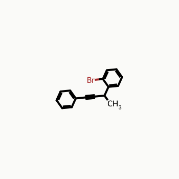 CC(C#Cc1ccccc1)c1ccccc1Br